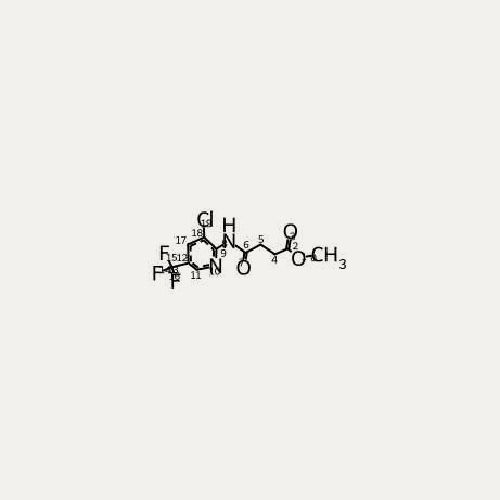 COC(=O)CCC(=O)Nc1ncc(C(F)(F)F)cc1Cl